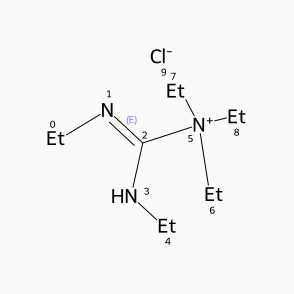 CC/N=C(\NCC)[N+](CC)(CC)CC.[Cl-]